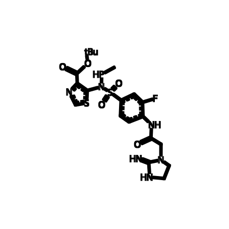 CPN(c1scnc1C(=O)OC(C)(C)C)S(=O)(=O)c1ccc(NC(=O)CN2CCNC2=N)c(F)c1